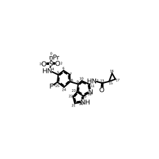 CCCS(=O)(=O)Nc1ccc(-c2cc(NC(=O)C3CC3)nc3[nH]ccc23)cc1F